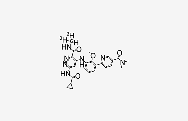 [2H]C([2H])([2H])NC(=O)c1nnc(NC(=O)C2CC2)cc1Nc1cccc(-c2ccc(C(=O)N(C)C)cn2)c1OC